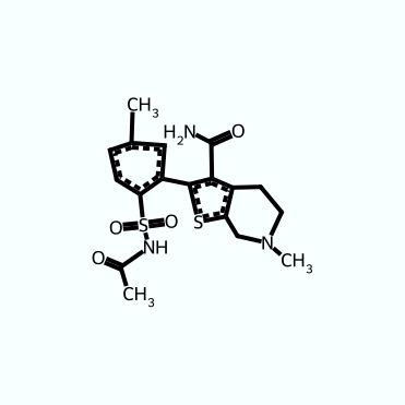 CC(=O)NS(=O)(=O)c1ccc(C)cc1-c1sc2c(c1C(N)=O)CCN(C)C2